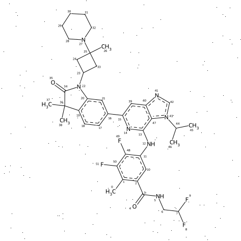 Cc1c(C(=O)NCC(F)F)cc(Nc2nc(-c3ccc4c(c3)N(C3CC(C)(N5CCCCC5)C3)C(=O)C4(C)C)cc3ncn(C(C)C)c23)c(F)c1F